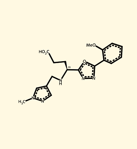 COc1ccccc1-c1nnc([C@H](CCC(=O)O)NCc2cnn(C)c2)o1